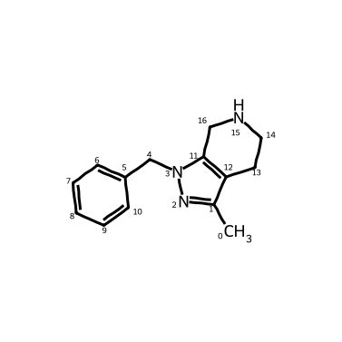 Cc1nn(Cc2ccccc2)c2c1CCNC2